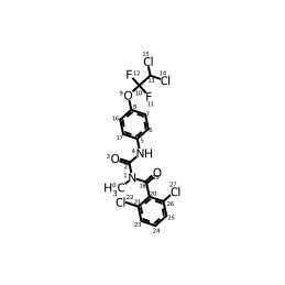 CN(C(=O)Nc1ccc(OC(F)(F)C(Cl)Cl)cc1)C(=O)c1c(Cl)cccc1Cl